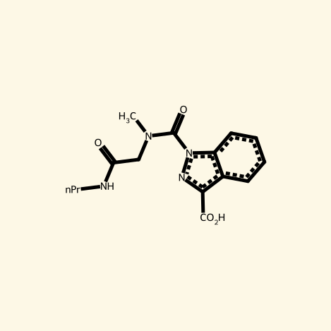 CCCNC(=O)CN(C)C(=O)n1nc(C(=O)O)c2ccccc21